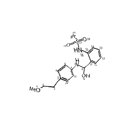 COCCc1ccc(NC(O)c2ccccc2NS(=O)(=O)C(C)C)cc1